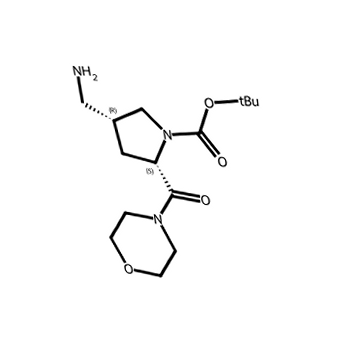 CC(C)(C)OC(=O)N1C[C@@H](CN)C[C@H]1C(=O)N1CCOCC1